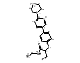 CC(C)CC(Sc1ccc(-c2cnc(N3CCNCC3)nc2)cc1)C(=O)NCC#N